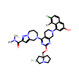 CCc1c(F)ccc2cc(O)cc(N3CCc4c(nc(OC[C@@]56CCCN5C[C@H](F)C6)nc4N4CCCn5nc(C(=O)N(C)C(C)C)cc5C4)C3)c12